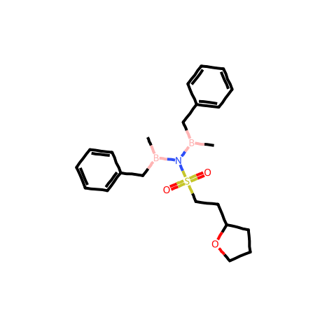 CB(Cc1ccccc1)N(B(C)Cc1ccccc1)S(=O)(=O)CCC1CCCO1